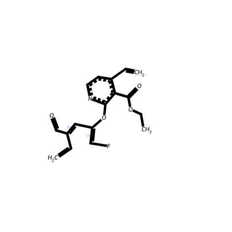 C=C/C(C=O)=C\C(=C\F)Oc1nccc(C=C)c1C(=O)OCC